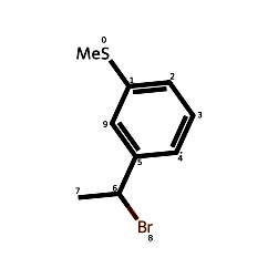 CSc1cc[c]c(C(C)Br)c1